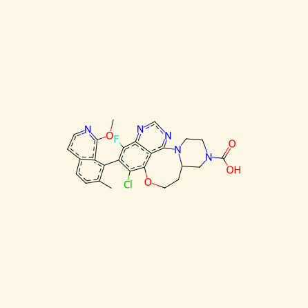 COc1nccc2ccc(C)c(-c3c(Cl)c4c5c(ncnc5c3F)N3CCN(C(=O)O)CC3CCO4)c12